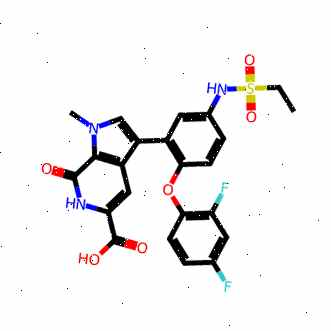 CCS(=O)(=O)Nc1ccc(Oc2ccc(F)cc2F)c(-c2cn(C)c3c(=O)[nH]c(C(=O)O)cc23)c1